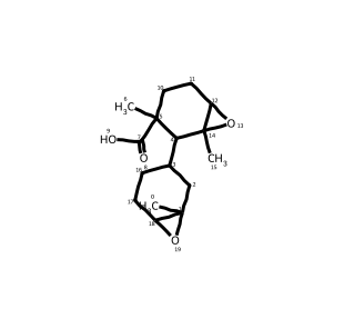 CC12CC(C3C(C)(C(=O)O)CCC4OC43C)CCC1O2